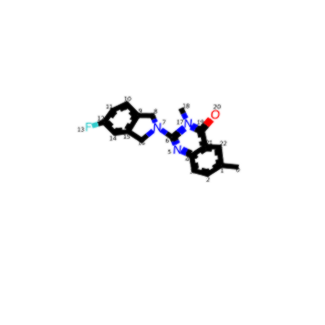 Cc1ccc2nc(N3Cc4ccc(F)cc4C3)n(C)c(=O)c2c1